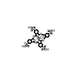 O=S(=O)(O)c1ccc2c(c1)C1=NC2=Nc2c3cc(S(=O)(=O)O)ccc3c3[n]2[Al]([Cl])[n]2c(c4ccc(S(=O)(=O)O)cc4c2=NC2=NC(=N3)c3cc(S(=O)(=O)O)ccc32)=N1